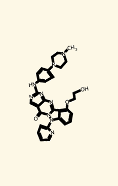 CN1CCN(c2ccc(Nc3ncc4c(=O)n5c(nc4n3)c3c(OCCO)cccc3n5-c3ccccn3)cc2)CC1